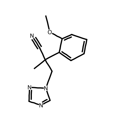 COc1ccccc1C(C)(C#N)Cn1cncn1